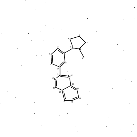 CC1CCCN1c1cccc(-c2ncc3ccccc3n2)c1